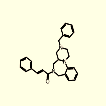 O=C(C=Cc1ccccc1)N1Cc2ccccc2N2CCN(Cc3ccccc3)CC2C1